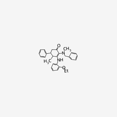 CCOc1ccccc1NC1=C(N(C)Cc2ccccc2)C(=O)CC(c2ccccc2)C1C